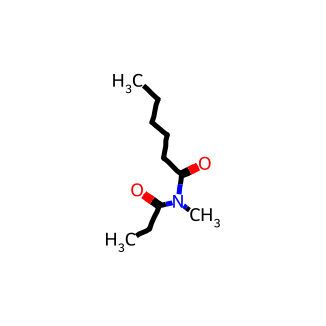 CCCCCC(=O)N(C)C(=O)CC